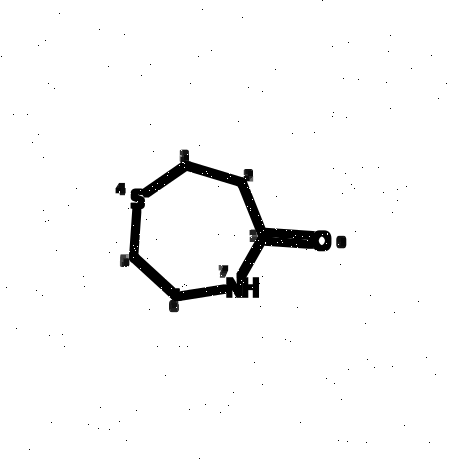 O=C1CCSC[CH]N1